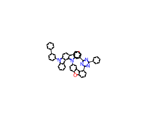 c1ccc(-c2cccc(-n3c4ccccc4c4c3ccc3c5ccccc5n(-c5ccc6oc7cccc(-c8nc(-c9ccccc9)nc(-c9ccccc9)n8)c7c6c5)c34)c2)cc1